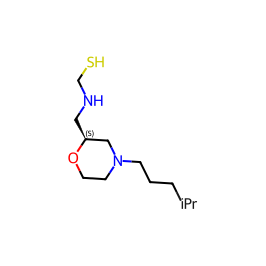 CC(C)CCCN1CCO[C@@H](CNCS)C1